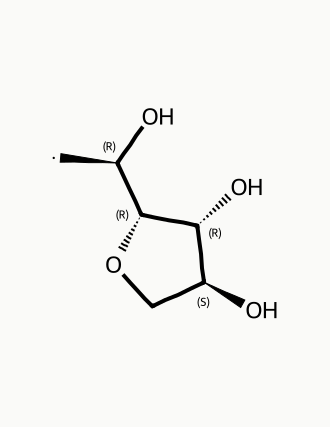 [CH2][C@@H](O)[C@H]1OC[C@H](O)[C@H]1O